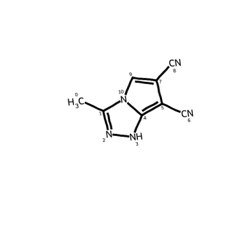 Cc1n[nH]c2c(C#N)c(C#N)cn12